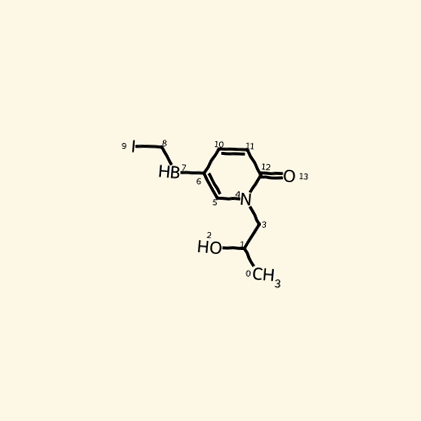 CC(O)Cn1cc(BCI)ccc1=O